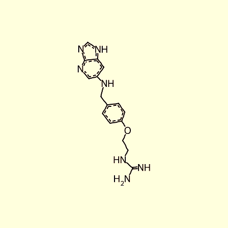 N=C(N)NCCOc1ccc(CNc2cnc3nc[nH]c3c2)cc1